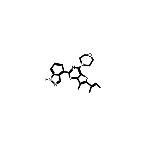 C/C=C(\C)c1sc2c(N3CCOCC3)nc(-c3cccc4[nH]ncc34)nc2c1C